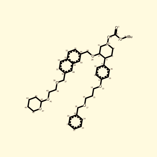 CC(C)(C)OC(=O)ON1CCC(c2ccc(OCCCOCc3ccccc3)cc2)C(OCc2ccc3ccc(COCCOC4CCCCO4)cc3c2)C1